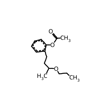 CCCOC(C)CCc1ccccc1OC(C)=O